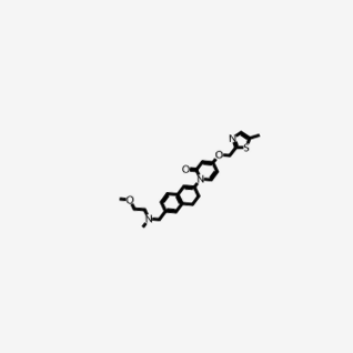 COCCN(C)Cc1ccc2c(c1)CCC(n1ccc(OCc3ncc(C)s3)cc1=O)=C2